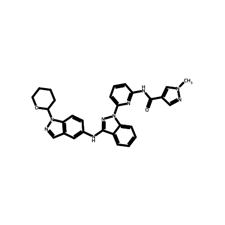 Cn1cc(C(=O)Nc2cccc(-n3nc(Nc4ccc5c(cnn5C5CCCCO5)c4)c4ccccc43)n2)cn1